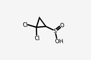 O=S(O)C1CC1(Cl)Cl